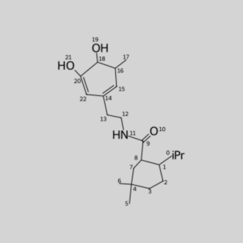 CC(C)C1CCC(C)(C)CC1C(=O)NCCC1=CC(C)C(O)C(O)=C1